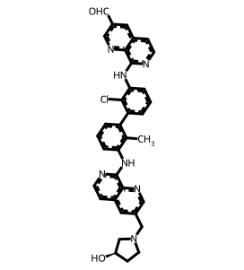 Cc1c(Nc2nccc3cc(CN4CC[C@@H](O)C4)cnc23)cccc1-c1cccc(Nc2nccc3cc(C=O)cnc23)c1Cl